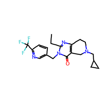 CCc1nc2c(c(=O)n1Cc1ccc(C(F)(F)F)nc1)CN(CC1CC1)CC2